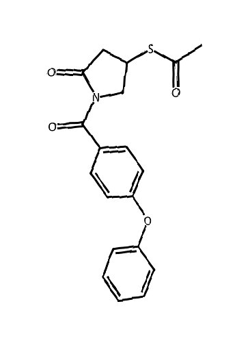 CC(=O)SC1CC(=O)N(C(=O)c2ccc(Oc3ccccc3)cc2)C1